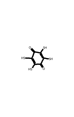 O=C1C(S)=C(S)C(=O)C(S)=C1S